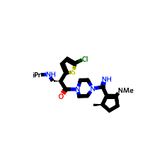 CNC1=C(C(=N)N2CCN(C(=O)[C@H](CNC(C)C)c3ccc(Cl)s3)CC2)[C@H](C)CC1